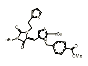 CCCCc1ncc(/C=C2/C(=O)N(CCCC)C(=O)N2CCc2cccs2)n1Cc1ccc(C(=O)OC)cc1